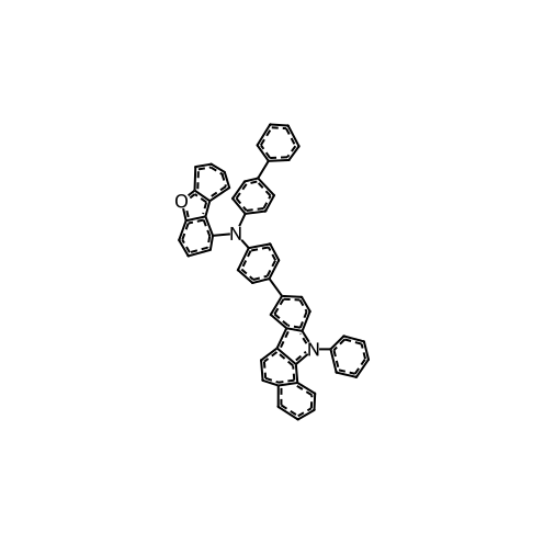 c1ccc(-c2ccc(N(c3ccc(-c4ccc5c(c4)c4ccc6ccccc6c4n5-c4ccccc4)cc3)c3cccc4oc5ccccc5c34)cc2)cc1